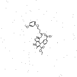 CCOC(=O)C1=C(C)Nc2snc(CN(C)CCCOc3cccc(OC)c3)c2C1c1cccc([N+](=O)[O-])c1